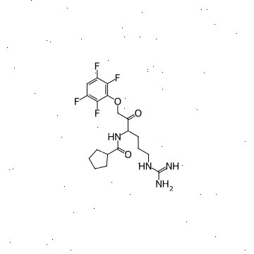 N=C(N)NCCCC(NC(=O)C1CCCC1)C(=O)COc1c(F)c(F)cc(F)c1F